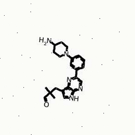 CC(C)(C=O)Cc1c[nH]c2ncc(-c3cccc(N4CCC(N)CC4)c3)nc12